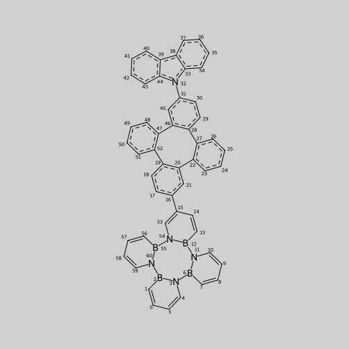 C1=CB2N(C=C1)B1C=CC=CN1B1C=CC(c3ccc4c(c3)-c3ccccc3-c3ccc(-n5c6ccccc6c6ccccc65)cc3-c3ccccc3-4)=CN1B1C=CC=CN21